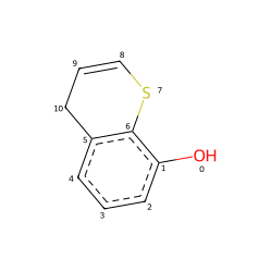 Oc1cccc2c1SC=CC2